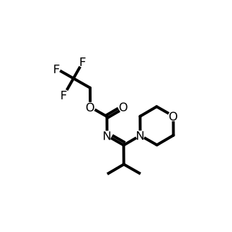 CC(C)/C(=N/C(=O)OCC(F)(F)F)N1CCOCC1